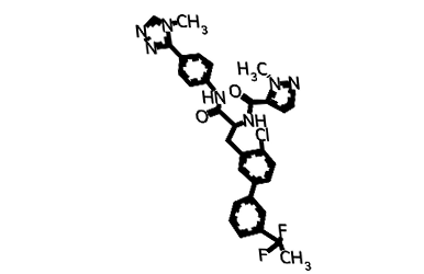 Cn1cnnc1-c1ccc(NC(=O)C(Cc2cc(-c3cccc(C(C)(F)F)c3)ccc2Cl)NC(=O)c2ccnn2C)cc1